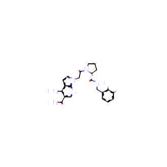 NC(=O)c1cnc2c(ccn2CC(=O)N2C[C@H](F)C[C@H]2C(=O)NCc2cccc(Cl)c2F)c1N